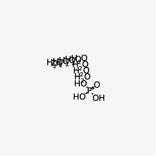 O.O.O.O.O.O.O.O.O=P(O)(O)O.[Zn]